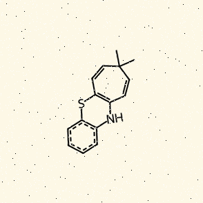 CC1(C)C=CC2=C(C=C1)Sc1ccccc1N2